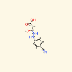 N#Cc1ccc(NNC(=O)CC(=O)O)cc1